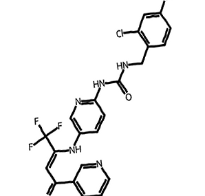 C/N=C(\C=C(/Nc1ccc(NC(=O)NCc2ccc(Cl)cc2Cl)nc1)C(F)(F)F)c1cccnc1